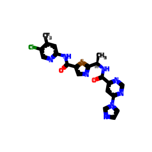 C[C@@H](NC(=O)c1cc(-n2ccnc2)ncn1)c1ncc(C(=O)Nc2cc(C(F)(F)F)c(Cl)cn2)s1